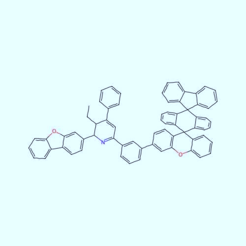 CCC1C(c2ccccc2)=CC(c2cccc(-c3ccc4c(c3)Oc3ccccc3C43c4ccccc4C4(c5ccccc5-c5ccccc54)c4ccccc43)c2)=NC1c1ccc2c(c1)oc1ccccc12